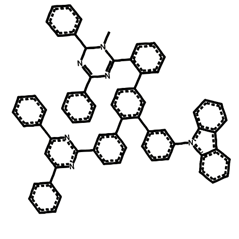 CN1C(c2ccccc2-c2ccc(-c3cccc(-c4nc(-c5ccccc5)cc(-c5ccccc5)n4)c3)c(-c3cccc(-n4c5ccccc5c5ccccc54)c3)c2)=NC(c2ccccc2)=NC1c1ccccc1